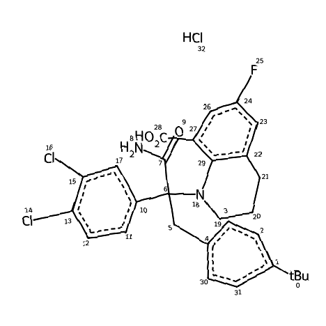 CC(C)(C)c1ccc(CC(C(N)=O)(c2ccc(Cl)c(Cl)c2)N2CCCc3cc(F)cc(C(=O)O)c32)cc1.Cl